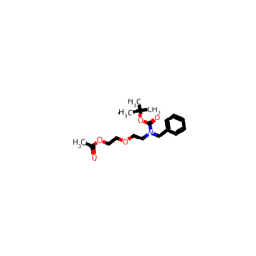 CC(=O)OCCOCCN(Cc1ccccc1)C(=O)OC(C)(C)C